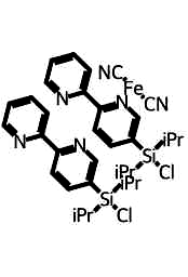 CC(C)[Si](Cl)(c1ccc(-c2ccccn2)nc1)C(C)C.CC(C)[Si](Cl)(c1ccc(-c2ccccn2)nc1)C(C)C.N#[C][Fe][C]#N